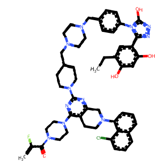 C=C(F)C(=O)N1CCN(c2nc(N3CCC(CN4CCN(Cc5ccc(-n6c(O)nnc6-c6cc(CC)c(O)cc6O)cc5)CC4)CC3)nc3c2CCN(c2cccc4cccc(Cl)c24)C3)CC1